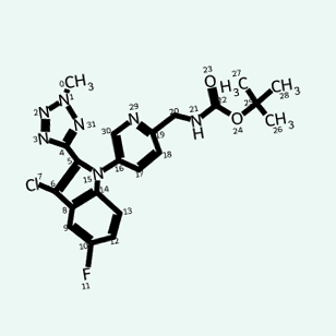 Cn1nnc(-c2c(Cl)c3cc(F)ccc3n2-c2ccc(CNC(=O)OC(C)(C)C)nc2)n1